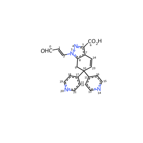 O=CC=Cn1nc(C(=O)O)c2c1CC(c1ccncc1)(c1ccncc1)C=C2